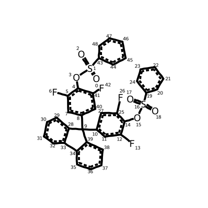 O=S(=O)(Oc1c(F)cc(C2(c3cc(F)c(OS(=O)(=O)c4ccccc4)c(F)c3)c3ccccc3-c3ccccc32)cc1F)c1ccccc1